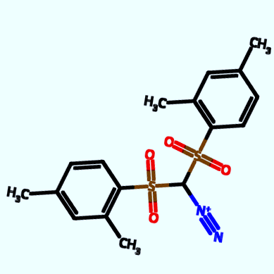 Cc1ccc(S(=O)(=O)C([N+]#N)S(=O)(=O)c2ccc(C)cc2C)c(C)c1